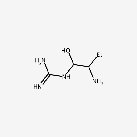 CCC(N)C(O)NC(=N)N